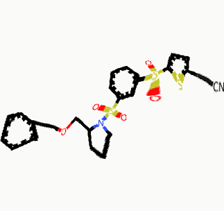 N#Cc1ccc(S(=O)(=O)c2cccc(S(=O)(=O)N3CCCC3COCc3ccccc3)c2)s1